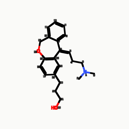 CN(C)CC/C=C1/c2ccccc2COc2ccc(CCCO)cc21